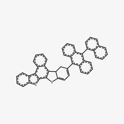 C1=C(c2c3ccccc3c(-c3cccc4ccccc34)c3ccccc23)CC2C(=C1)Sc1c2c2ccccc2c2c1sc1ccccc12